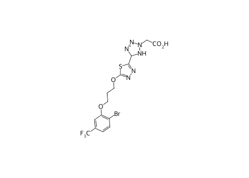 O=C(O)CN1N=NC(c2nnc(OCCCOc3cc(C(F)(F)F)ccc3Br)s2)N1